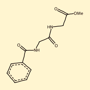 COC(=O)CNC(=O)CNC(=O)c1ccccc1